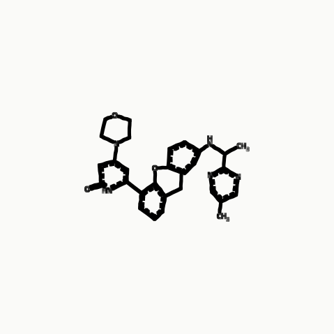 Cc1cnc(C(C)Nc2ccc3c(c2)Cc2cccc(-c4cc(N5CCOCC5)cc(=O)[nH]4)c2O3)nc1